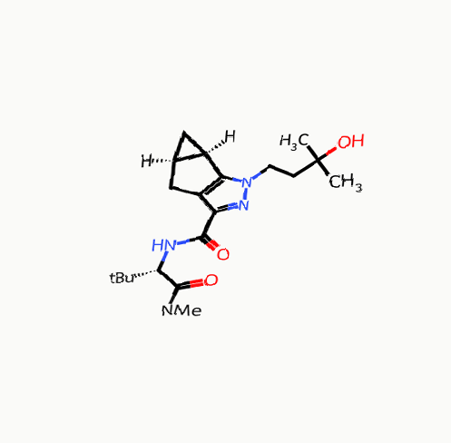 CNC(=O)[C@@H](NC(=O)c1nn(CCC(C)(C)O)c2c1C[C@H]1C[C@@H]21)C(C)(C)C